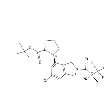 CC(C)(C)OC(=O)N1CCC[C@H]1c1cc(Cl)cc2c1CN(C(=O)[C@@](C)(O)C(F)(F)F)C2